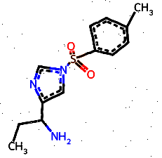 CCC(N)c1cn(S(=O)(=O)c2ccc(C)cc2)cn1